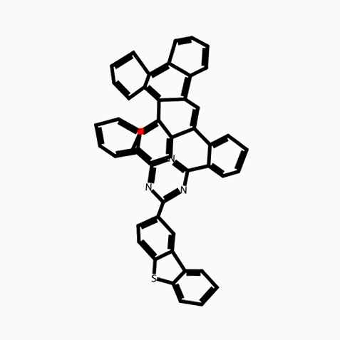 c1ccc(-c2nc(-c3ccc4sc5ccccc5c4c3)nc(-c3ccccc3-c3cc4c5ccccc5c5ccccc5c4c4ccccc34)n2)cc1